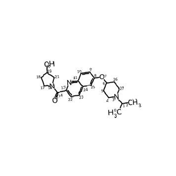 CC(C)N1CCC(Oc2ccc3nc(C(=O)N4CCC(O)C4)ccc3c2)CC1